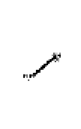 C[Si](O)(O)CCCCCCCCCCCCCCCCN